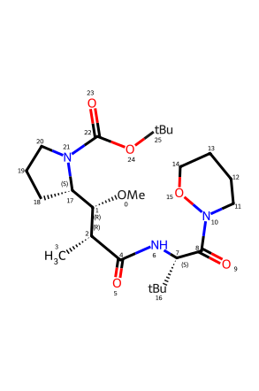 CO[C@H]([C@@H](C)C(=O)N[C@H](C(=O)N1CCCCO1)C(C)(C)C)[C@@H]1CCCN1C(=O)OC(C)(C)C